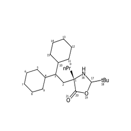 CCC[C@@]1(CC(C2CCCCC2)C2CCCCC2)NC(C(C)(C)C)OC1=O